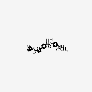 CC(=O)Nc1ccc(NC(=O)Nc2ccc(-c3ccc(C(=O)NC4CN5CCC4CC5)o3)cc2)cc1